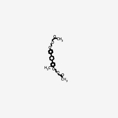 Cc1cc(C2CCC(c3ccc(OCCOCC4OC4C)cc3)CC2)ccc1OCCOCC1OC1C